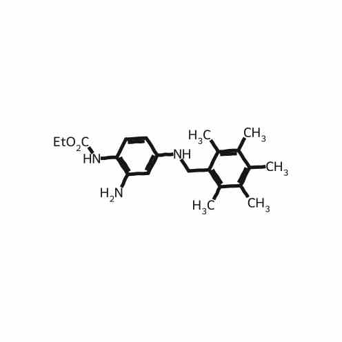 CCOC(=O)Nc1ccc(NCc2c(C)c(C)c(C)c(C)c2C)cc1N